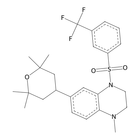 CN1CCN(S(=O)(=O)c2cccc(C(F)(F)F)c2)c2cc(C3CC(C)(C)OC(C)(C)C3)ccc21